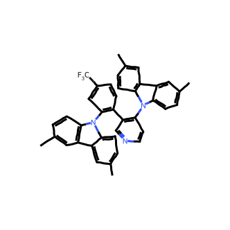 Cc1ccc2c(c1)c1cc(C)ccc1n2-c1ccncc1-c1ccc(C(F)(F)F)cc1-n1c2ccc(C)cc2c2cc(C)ccc21